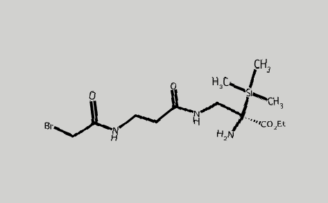 CCOC(=O)[C@](N)(CNC(=O)CCNC(=O)CBr)[Si](C)(C)C